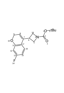 CC(C)(C)OC(=O)N1CC(C2=CCOc3cc(F)ccc32)C1